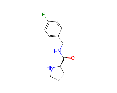 O=C(NCc1ccc(F)cc1)[C@H]1CCCN1